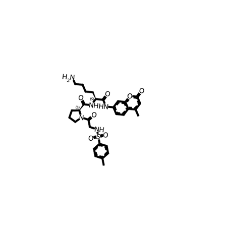 Cc1ccc(S(=O)(=O)NCC(=O)N2CCC[C@H]2C(=O)N[C@@H](CCCCN)C(=O)Nc2ccc3c(C)cc(=O)oc3c2)cc1